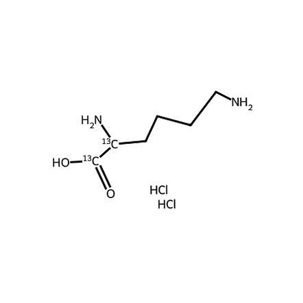 Cl.Cl.NCCCC[13CH](N)[13C](=O)O